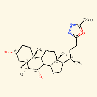 CCOC(=O)c1nnc(CC[C@@H](C)C2CCC3C4C(CC[C@@]32C)[C@@]2(C)CC[C@@H](O)C[C@H]2[C@@H](CC)[C@H]4O)o1